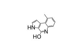 Cc1cccc2nc(O)c3[nH]ccc3c12